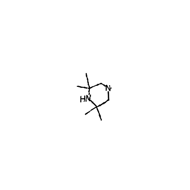 CC1(C)C[N]CC(C)(C)N1